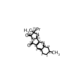 CC1CCc2cc3c(nc2C1)C1=NC(C)(C(C)C)C(=O)N1C3=O